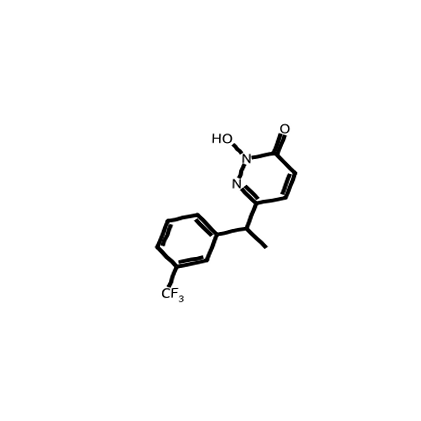 CC(c1cccc(C(F)(F)F)c1)c1ccc(=O)n(O)n1